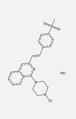 CCN1CCN(c2nc(C=Cc3ccc(S(C)(=O)=O)cc3)cc3ccccc23)CC1.Cl